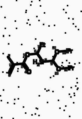 C=C(C)C(=O)OC(CC)[SiH2]C(OC(C)C)OC(C)C